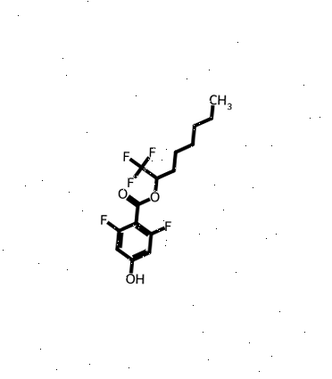 CCCCCCC(OC(=O)c1c(F)cc(O)cc1F)C(F)(F)F